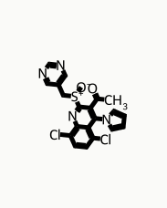 CC(=O)c1c([S+]([O-])Cc2cncnc2)nc2c(Cl)ccc(Cl)c2c1-n1cccc1